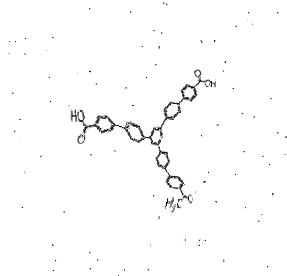 CC(=O)c1ccc(-c2ccc(-c3cc(-c4ccc(-c5ccc(C(=O)O)cc5)cc4)cc(-c4ccc(-c5ccc(C(=O)O)cc5)cc4)c3)cc2)cc1